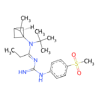 CC/C(=N\C(=N)Nc1ccc(S(C)(=O)=O)cc1)N(C(C)(C)C)C12CC(C1)[C@H]2C